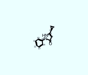 O=c1cc(C2CC2)[nH]n1-c1ccccc1